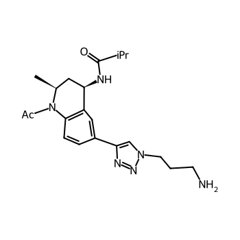 CC(=O)N1c2ccc(-c3cn(CCCN)nn3)cc2[C@H](NC(=O)C(C)C)C[C@@H]1C